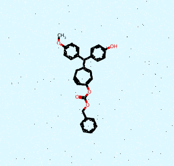 COc1ccc(C(C2=CC=C(OC(=O)OCc3ccccc3)C#CC2)c2ccc(O)cc2)cc1